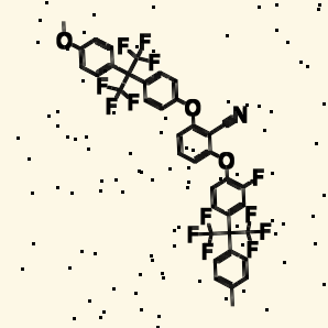 COc1ccc(C(c2ccc(Oc3cccc(Oc4ccc(C(c5ccc(C)cc5)(C(F)(F)F)C(F)(F)F)cc4F)c3C#N)cc2)(C(F)(F)F)C(F)(F)F)cc1